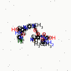 Cc1ncsc1-c1ccc(CNC(=O)[C@@H]2C[C@@H](O)CN2C(=O)[C@@H](N)C(C)(C)C)c(OCCOCCN(C)C[C@H]2CC[C@H](n3cc4cc(NC(=O)c5cccc(C(F)(F)F)n5)c(C(C)(C)O)cc4n3)CC2)c1